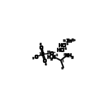 CC(N)N.Cl.Cl.O=S(=O)([O-])[O-].[Zn+2]